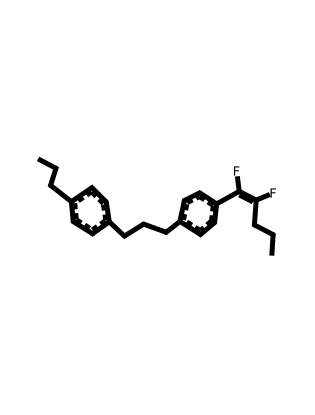 CCC/C(F)=C(/F)c1ccc(CCCc2ccc(CCC)cc2)cc1